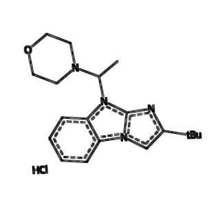 CC(N1CCOCC1)n1c2ccccc2n2cc(C(C)(C)C)nc12.Cl